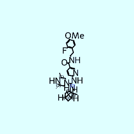 COc1ccc(CCNC(=O)c2ccc(N/C(=N/[C@H]3C[C@H]4C[C@@H]([C@@H]3C)C4(C)C)N3C[C@H](C)N[C@@H](C)C3)nc2)c(F)c1